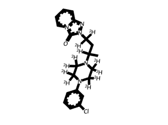 [2H]C(C)(CC([2H])([2H])n1nc2ccccn2c1=O)N1C([2H])([2H])C([2H])([2H])N(c2cccc(Cl)c2)C([2H])([2H])C1([2H])[2H]